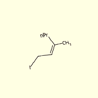 CCC/C(C)=C\CI